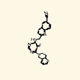 N#Cc1ccc2nc(CNc3ncnc(N4CCc5ncccc5C4)c3F)ccc2c1